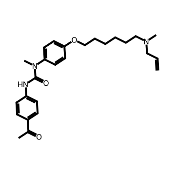 C=CCN(C)CCCCCCOc1ccc(N(C)C(=O)Nc2ccc(C(C)=O)cc2)cc1